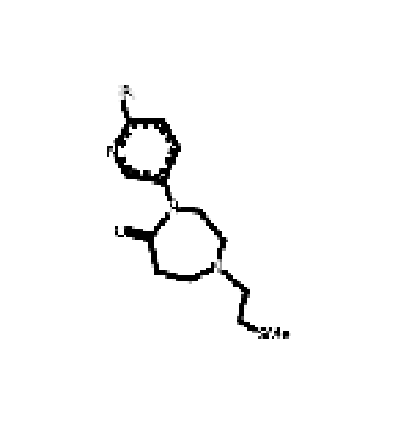 CCC(C)c1ccc(N2CCN(CCSC)CCC2=O)cn1